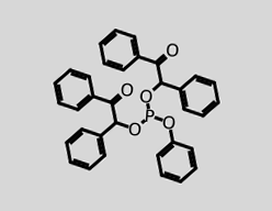 O=C(c1ccccc1)C(OP(Oc1ccccc1)OC(C(=O)c1ccccc1)c1ccccc1)c1ccccc1